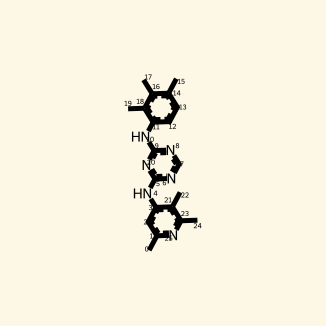 Cc1cc(Nc2ncnc(Nc3ccc(C)c(C)c3C)n2)c(C)c(C)n1